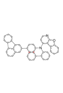 c1ccc(-c2ccccc2N(c2ccc(-c3cc4c5c(cccc5c3)-c3ccccc3-4)cc2)c2ccnc3oc4ccccc4c23)cc1